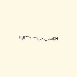 BCCCCCCC#C